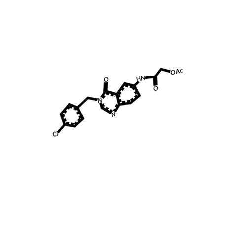 CC(=O)OCC(=O)Nc1ccc2ncn(Cc3ccc(Cl)cc3)c(=O)c2c1